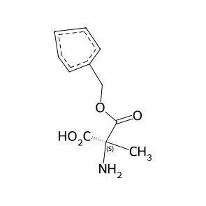 C[C@](N)(C(=O)O)C(=O)OCc1ccccc1